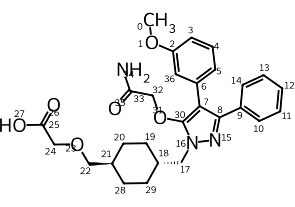 COc1cccc(-c2c(-c3ccccc3)nn(C[C@H]3CC[C@H](COCC(=O)O)CC3)c2OCC(N)=O)c1